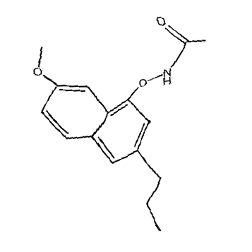 CCCc1cc(ONC(C)=O)c2cc(OC)ccc2c1